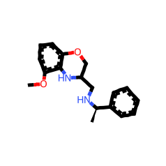 COc1cccc2c1NC(CN[C@H](C)c1ccccc1)CO2